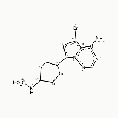 Nc1ncnn2c(C3CCC(NC(=O)O)CC3)cc(Br)c12